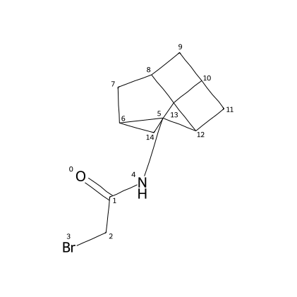 O=C(CBr)NC1C2CC3CC4CC1C34C2